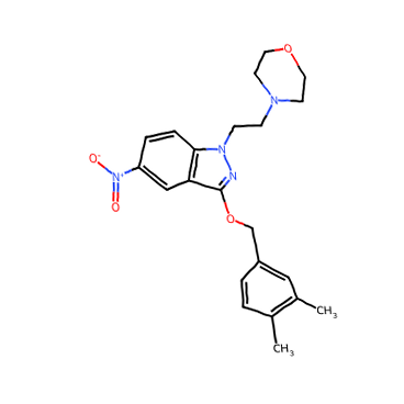 Cc1ccc(COc2nn(CCN3CCOCC3)c3ccc([N+](=O)[O-])cc23)cc1C